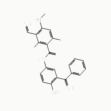 CNc1cc(F)c(C(=O)Nc2ccc(N)c(C(=N)c3ccccc3)c2)c(F)c1C=N